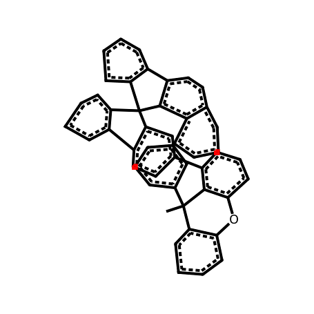 CC1(c2ccccc2)c2ccccc2Oc2cccc(-c3ccc4c(c3)C3(c5ccccc5-4)c4ccccc4-c4ccc5ccccc5c43)c21